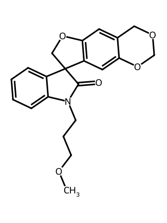 COCCCN1C(=O)C2(COc3cc4c(cc32)OCOC4)c2ccccc21